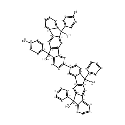 Oc1ccc(C2(O)c3ccccc3-c3cc4c(cc32)-c2cc(-c3ccc5c(c3)-c3cc6c(cc3C5(O)c3ccccc3)-c3ccccc3C6(O)c3ccccc3)ccc2C4(O)c2ccc(O)cc2)cc1